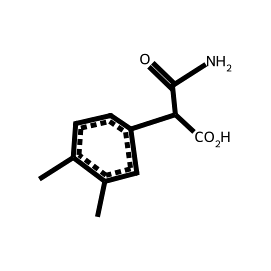 Cc1ccc(C(C(N)=O)C(=O)O)cc1C